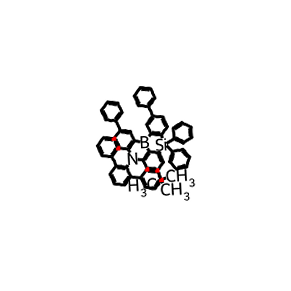 CC(C)(C)c1cc2c3c(c1)[Si](c1ccccc1)(c1ccccc1)c1ccc(-c4ccccc4)cc1B3c1cc(-c3ccccc3)ccc1N2c1c(-c2ccccc2)cccc1-c1ccccc1